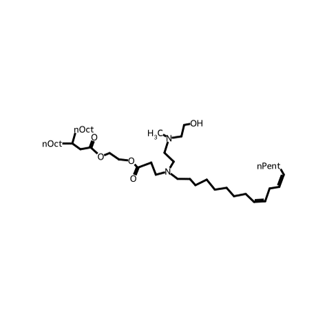 CCCCC/C=C\C/C=C\CCCCCCCCN(CCC(=O)OCCOC(=O)CC(CCCCCCCC)CCCCCCCC)CCN(C)CCO